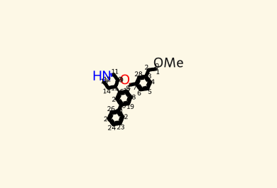 COCCc1cccc(CO[C@H]2CNCC[C@@H]2c2cccc(-c3ccccc3)c2)c1